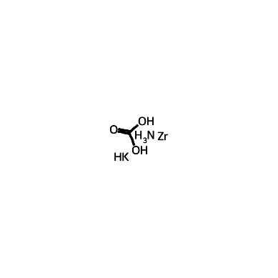 N.O=C(O)O.[KH].[Zr]